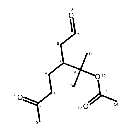 CC(=O)CCC(CC=O)C(C)(C)OC(C)=O